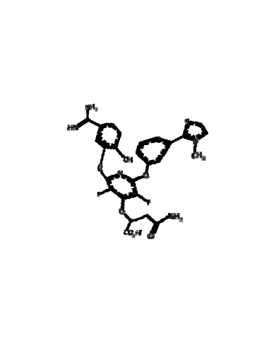 Cn1ccnc1-c1cccc(Oc2nc(Oc3cc(C(=N)N)ccc3O)c(F)c(OC(CC(N)=O)C(=O)O)c2F)c1